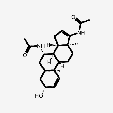 CC(=O)NC1=CC[C@H]2[C@@H]3[C@@H](NC(C)=O)CC4C[C@@H](O)C=C[C@]4(C)[C@H]3CC[C@]12C